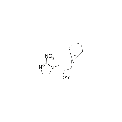 CC(=O)OC(CN1C2CCCCC21)Cn1ccnc1[N+](=O)[O-]